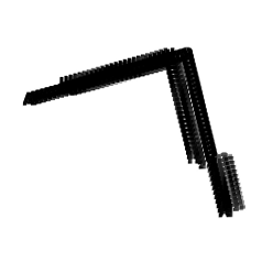 O.O.O.O.O.O.O.O.O.O.O.O.O.O.O.O.O.O.O.O.O.O.O.O.O.O.O.O.O.O.O.O.O.O.O.O.O.O.O.O.O.O.O.O.O.O.O.[Al+3].[Al+3].[Al+3].[Al+3].[Al+3].[Al+3].[Al+3].[Al+3].[Al+3].[Al+3].[Al+3].[Al+3].[Al+3].[Al+3].[Al+3].[Al+3].[Al+3].[Al+3].[Al+3].[Al+3].[Al+3].[Al+3].[Al+3].[Al+3]